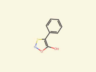 OC1=C(c2ccccc2)S[N]O1